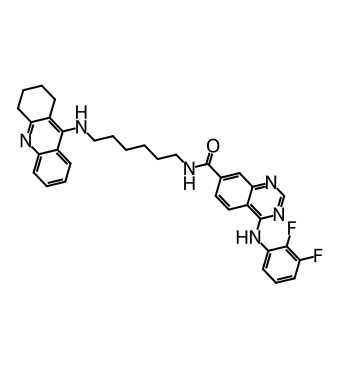 O=C(NCCCCCCNc1c2c(nc3ccccc13)CCCC2)c1ccc2c(Nc3cccc(F)c3F)ncnc2c1